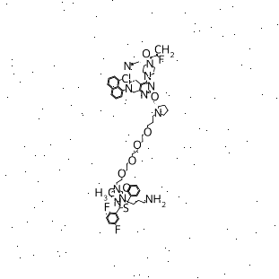 C=C(F)C(=O)N1CCN(c2nc(OC[C@@H]3CCCN3CCCOCCOCCOCCOCCN(C)C(=O)N3N=C(c4cc(F)ccc4F)SC3(CCCN)c3ccccc3)nc3c2CCN(c2cccc4cccc(Cl)c24)C3)C[C@@H]1CC#N